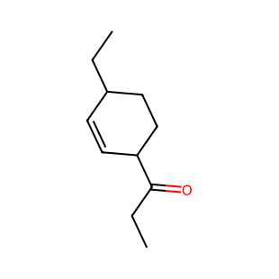 CCC(=O)C1C=CC(CC)CC1